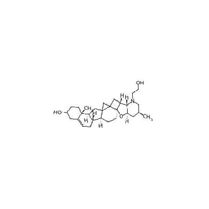 C[C@H]1C[C@H]2O[C@@]34CC[C@H]5[C@@H]6CC=C7CC(O)CC[C@]7(C)[C@H]6CC56CC63C[C@@H]4[C@@H]2N(CCO)C1